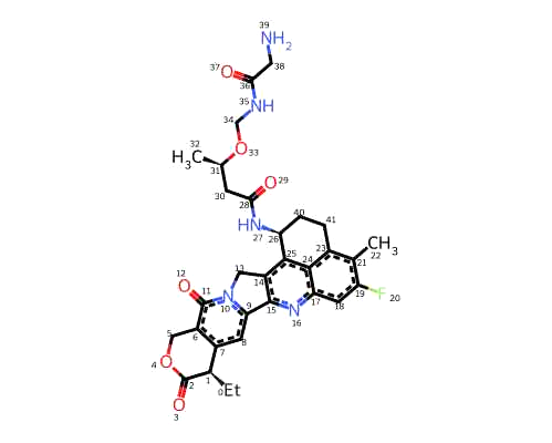 CC[C@H]1C(=O)OCc2c1cc1n(c2=O)Cc2c-1nc1cc(F)c(C)c3c1c2[C@@H](NC(=O)C[C@@H](C)OCNC(=O)CN)CC3